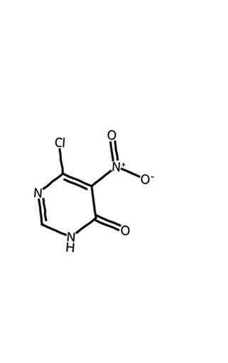 O=c1[nH]cnc(Cl)c1[N+](=O)[O-]